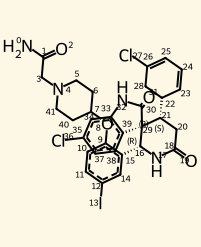 NC(=O)CN1CCC(Oc2ccc(I)cc2[C@H]2NC(=O)C[C@@H](C3C=CC=C(Cl)C3)[C@]23C(=O)Nc2cc(Cl)ccc23)CC1